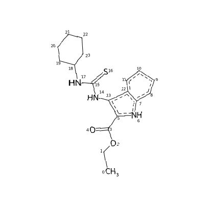 CCOC(=O)c1[nH]c2ccccc2c1NC(=S)NC1CCCCC1